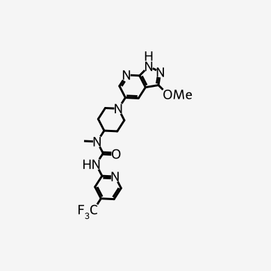 COc1n[nH]c2ncc(N3CCC(N(C)C(=O)Nc4cc(C(F)(F)F)ccn4)CC3)cc12